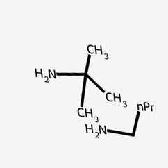 CC(C)(C)N.CCCCN